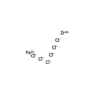 [Cl-].[Cl-].[Cl-].[Cl-].[Cl-].[Cl-].[Fe+2].[Zr+4]